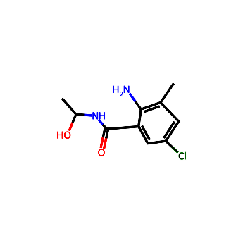 Cc1cc(Cl)cc(C(=O)NC(C)O)c1N